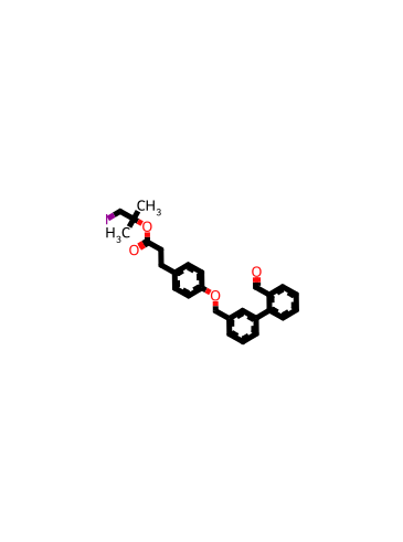 CC(C)(CI)OC(=O)CCc1ccc(OCc2cccc(-c3ccccc3C=O)c2)cc1